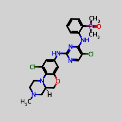 CN1CCN2c3c(Cl)cc(Nc4ncc(Cl)c(Nc5ccccc5P(C)(C)=O)n4)cc3OC[C@H]2C1